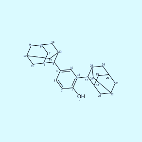 Oc1ccc(C2C3CC4CC(C3)CC2C4)cc1C1C2CC3CC(C2)CC1C3